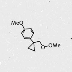 COOCC1(c2ccc(OC)cc2)CC1